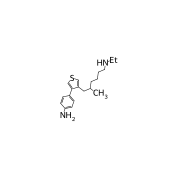 CCNCCCCC(C)Cc1cscc1-c1ccc(N)cc1